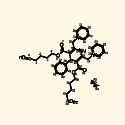 CCCCCCCCCCCCCCOC(=O)C1=C(C[n+]2ccccc2)NC(C[n+]2ccccc2)=C(C(=O)OCCCCCCCCCCCCCC)C1c1ccccc1.[Br-].[Br-]